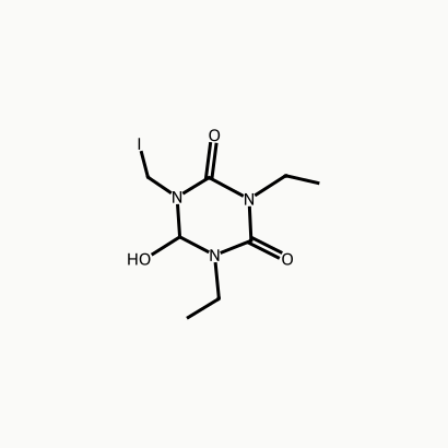 CCN1C(=O)N(CC)C(O)N(CI)C1=O